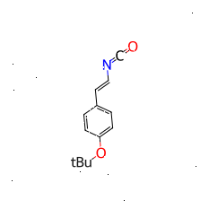 CC(C)(C)Oc1ccc(C=CN=C=O)cc1